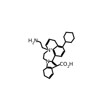 NCC[N+]12C=CCc3c(C4CCCCC4)ccc(c31)-c1c(C(=O)O)c3c(n1CC2)CCC=C3